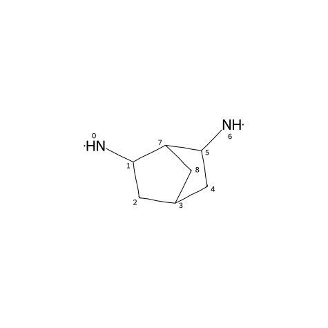 [NH]C1CC2CC([NH])C1C2